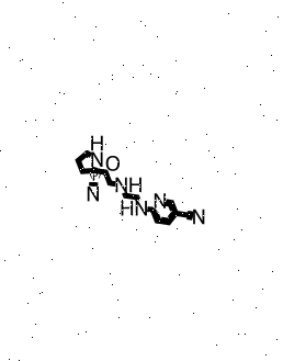 N#Cc1ccc(NCCNCC(=O)[C@@]2(C#N)CCCN2)nc1